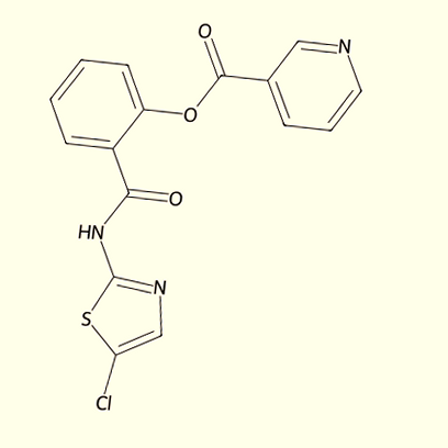 O=C(Oc1ccccc1C(=O)Nc1ncc(Cl)s1)c1cccnc1